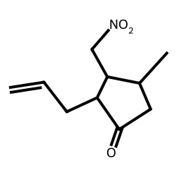 C=CCC1C(=O)CC(C)C1C[N+](=O)[O-]